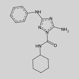 Nc1nc(Nc2ccccc2)nn1C(=O)NC1CCCCC1